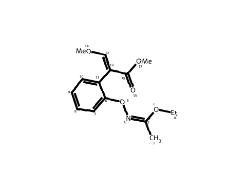 CCO/C(C)=N\Oc1ccccc1/C(=C\OC)C(=O)OC